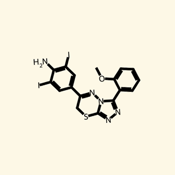 COc1ccccc1-c1nnc2n1N=C(c1cc(I)c(N)c(I)c1)CS2